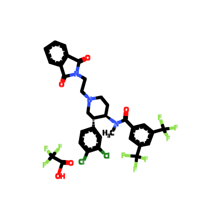 CN(C(=O)c1cc(C(F)(F)F)cc(C(F)(F)F)c1)[C@@H]1CCN(CCN2C(=O)c3ccccc3C2=O)C[C@H]1c1ccc(Cl)c(Cl)c1.O=C(O)C(F)(F)F